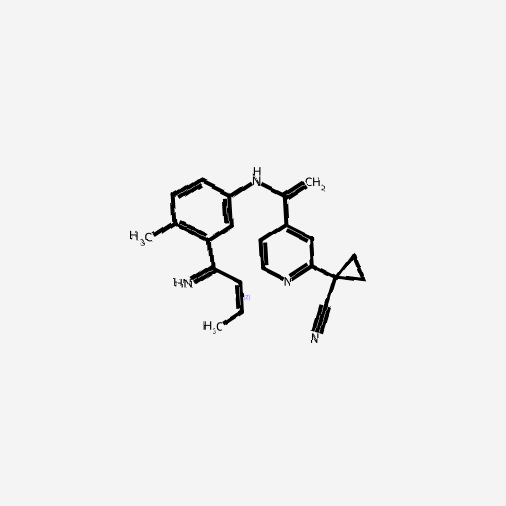 C=C(Nc1ccc(C)c(C(=N)/C=C\C)c1)c1ccnc(C2(C#N)CC2)c1